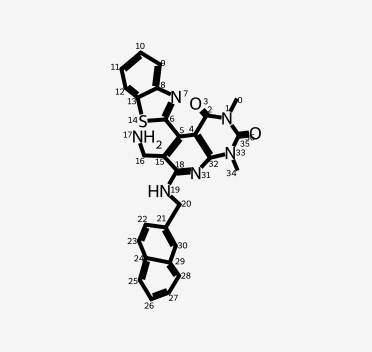 Cn1c(=O)c2c(-c3nc4ccccc4s3)c(CN)c(NCc3ccc4ccccc4c3)nc2n(C)c1=O